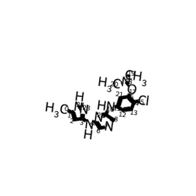 Cc1cc(Nc2cncc(Nc3ccc(Cl)c(ON(C)C)c3)n2)n[nH]1